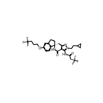 O=C(CC(F)(F)F)Nc1c2c(nn1CCC1CC1)C[C@]1(CCc3cc(OCCCC(F)(F)F)ccc31)NC2=O